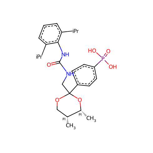 CC(C)c1cccc(C(C)C)c1NC(=O)NCC1(c2ccc(P(=O)(O)O)cc2)OC[C@@H](C)[C@@H](C)O1